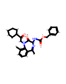 CC1=NC(NC(=O)OCc2ccccc2)C(=O)N(CC(=O)C2CCCCC2)c2c(C)cccc21